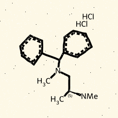 CN[C@@H](C)CN(C)C(c1ccccc1)c1ccccc1.Cl.Cl